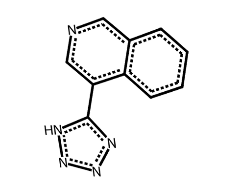 c1ccc2c(-c3nnn[nH]3)cncc2c1